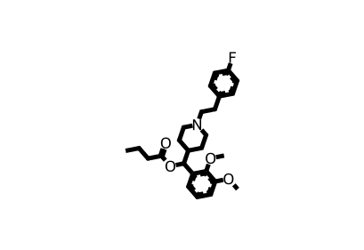 CCCC(=O)OC(c1cccc(OC)c1OC)C1CCN(CCc2ccc(F)cc2)CC1